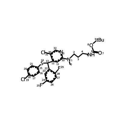 CN(CCCNC(=O)OC(C)(C)C)c1cc(C(Sc2ccc(Cl)cc2)c2cc(F)ccc2F)c(Cl)cn1